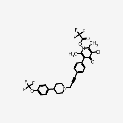 Cc1c(Cl)c(=O)c(-c2ccc(C#CCN3CCC(c4ccc(OC(F)(F)F)cc4)CC3)cc2)c(C)n1OC(=O)C(F)(F)F